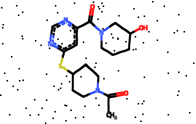 CC(=O)N1CCC(Sc2cc(C(=O)N3CCCC(O)C3)ncn2)CC1